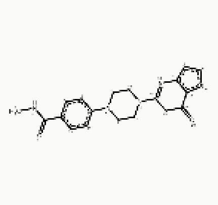 CNC(=O)c1ccc(N2CCN(C3=Nc4ccsc4C(=O)C3)CC2)cc1